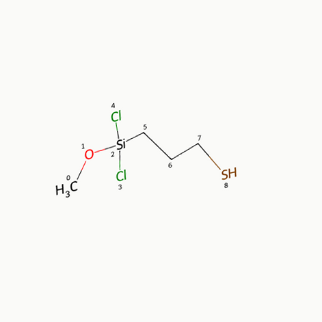 CO[Si](Cl)(Cl)CCCS